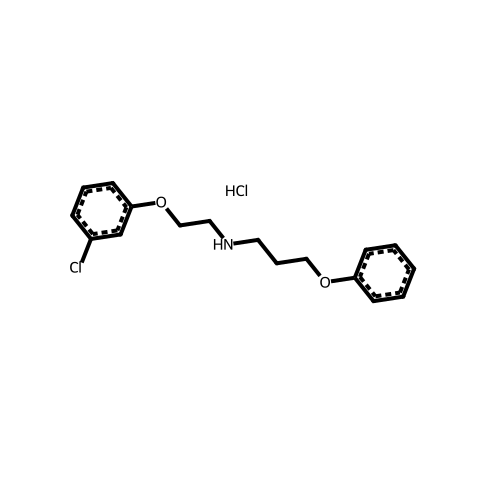 Cl.Clc1cccc(OCCNCCCOc2ccccc2)c1